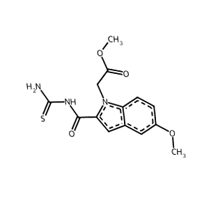 COC(=O)Cn1c(C(=O)NC(N)=S)cc2cc(OC)ccc21